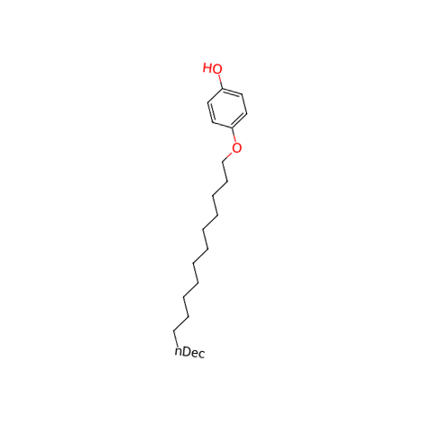 CCCCCCCCCCCCCCCCCCCCCOc1ccc(O)cc1